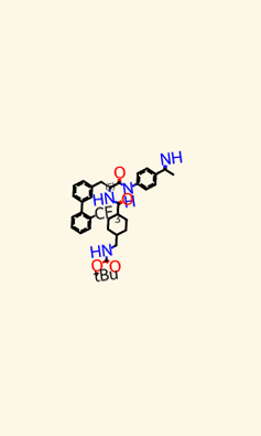 CC(=N)c1ccc(NC(=O)[C@H](Cc2cccc(-c3ccccc3C(F)(F)F)c2)NC(=O)C2CCC(CNC(=O)OC(C)(C)C)CC2)cc1